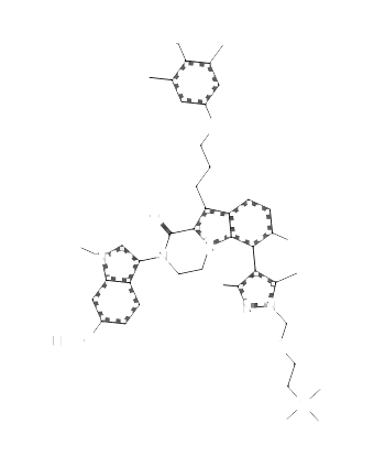 Cc1cc(OCCCc2c3n(c4c(-c5c(C)nn(COCC[Si](C)(C)C)c5C)c(Cl)ccc24)[C@H](C)CN(c2cn(C)c4cc(C(=O)O)ccc24)C3=O)cc(C)c1Cl